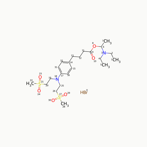 Br.CCN(CC)C(C)OC(=O)CCCc1ccc(N(CCS(C)(=O)=O)CCS(C)(=O)=O)cc1